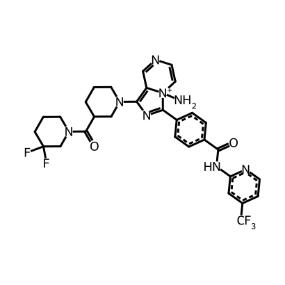 N[N+]12C=CN=CC1=C(N1CCCC(C(=O)N3CCCC(F)(F)C3)C1)N=C2c1ccc(C(=O)Nc2cc(C(F)(F)F)ccn2)cc1